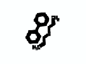 C=CCSCC=C.c1ccc(-c2ccccc2)cc1